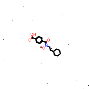 CON(CCC1CCCCC1)C(=O)c1ccc(C(=O)O)cc1